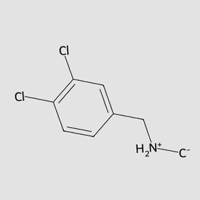 [CH2-][NH2+]Cc1ccc(Cl)c(Cl)c1